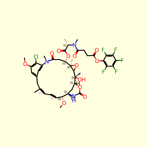 COc1cc2cc(c1Cl)N(C)C(=O)C[C@H](OC(=O)[C@H](C)N(C)C(=O)CCC(=O)Oc1c(F)c(F)c(F)c(F)c1F)[C@@]1(C)OC1[C@](C)(O)[C@@H]1C[C@H](NC(=O)O1)[C@H](OC)/C=C/C=C(/C)C2